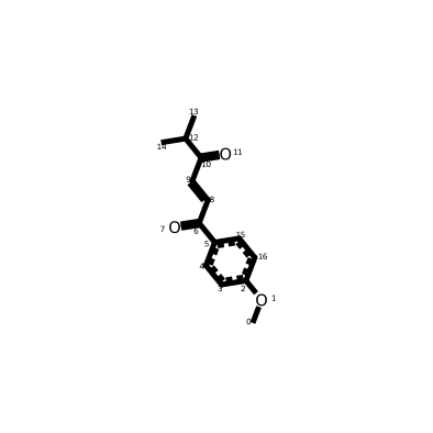 COc1ccc(C(=O)/C=C/C(=O)C(C)C)cc1